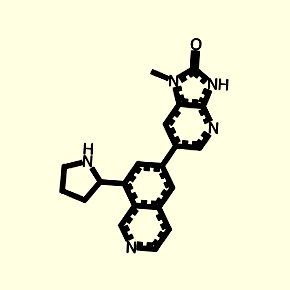 Cn1c(=O)[nH]c2ncc(-c3cc(C4CCCN4)c4cnccc4c3)cc21